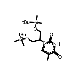 Cc1cn(C(CO[Si](C)(C)C(C)(C)C)CO[Si](C)(C)C(C)(C)C)c(=O)[nH]c1=O